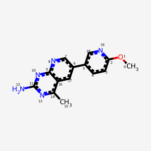 COc1ccc(-c2cnc3nc(N)nc(C)c3c2)cn1